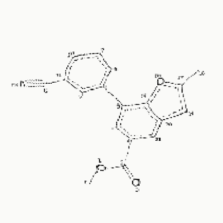 COC(=O)c1cc(-c2cccc(C#N)c2)c2oc(C)cc2c1